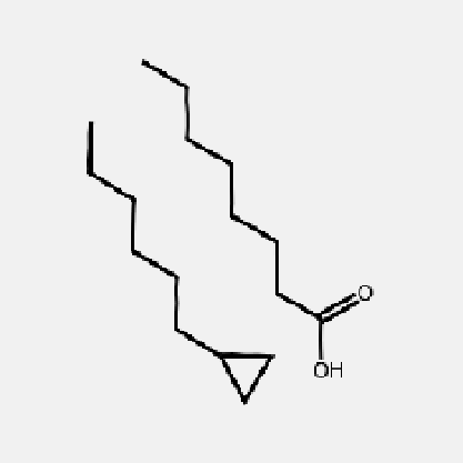 CCCCCCC1CC1.CCCCCCCC(=O)O